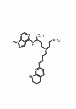 CC(=O)NCCN(CCCCc1ccc2c(n1)NCCC2)CCC(Nc1ncnc2c1cnn2C)C(=O)O